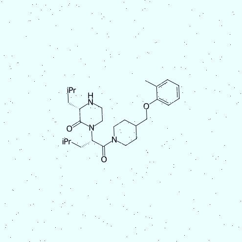 Cc1ccccc1OCC1CCN(C(=O)[C@H](CC(C)C)N2CCN[C@@H](CC(C)C)C2=O)CC1